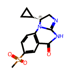 CS(=O)(=O)c1ccc2c(c1)C(=O)NC1=NC[C@@H](C3CC3)N12